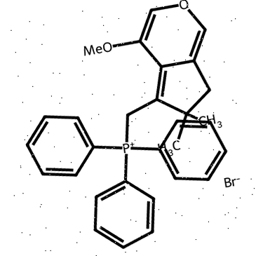 COC1=COC=C2CC(C)(C)C(C[P+](c3ccccc3)(c3ccccc3)c3ccccc3)=C21.[Br-]